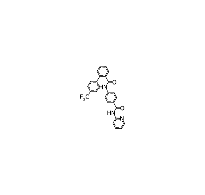 O=C(Nc1ccccn1)c1ccc(NC(=O)c2ccccc2-c2ccc(C(F)(F)F)cc2)cc1